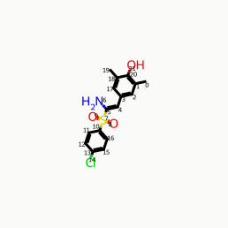 Cc1cc(/C=C(\N)S(=O)(=O)c2ccc(Cl)cc2)cc(C)c1O